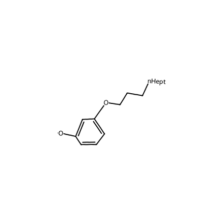 CCCCCCCCCCOc1cccc([O])c1